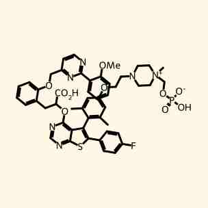 COc1ccccc1-c1nccc(COc2ccccc2CC(Oc2ncnc3sc(-c4ccc(F)cc4)c(-c4c(C)cc(OCCN5CC[N+](C)(COP(=O)([O-])O)CC5)cc4C)c23)C(=O)O)n1